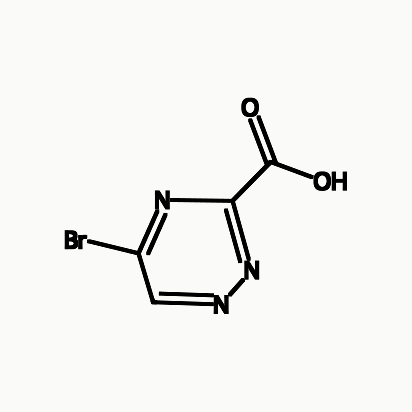 O=C(O)c1nncc(Br)n1